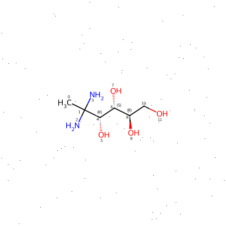 CC(N)(N)[C@@H](O)[C@H](O)[C@H](O)CO